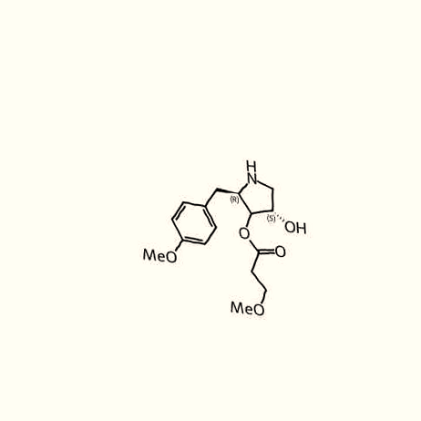 COCCC(=O)OC1[C@@H](O)CN[C@@H]1Cc1ccc(OC)cc1